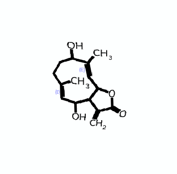 C=C1C(=O)OC2/C=C(\C)C(O)CC/C(C)=C/C(O)C12